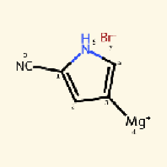 N#Cc1c[c]([Mg+])c[nH]1.[Br-]